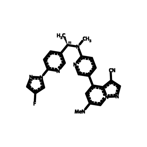 CNc1cc(-c2ccc(N(C)[C@@H](C)c3ccc(-n4cc(F)cn4)nc3)nc2)c2c(C#N)cnn2c1